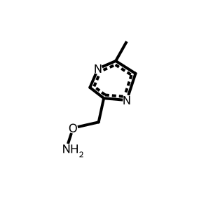 Cc1cnc(CON)cn1